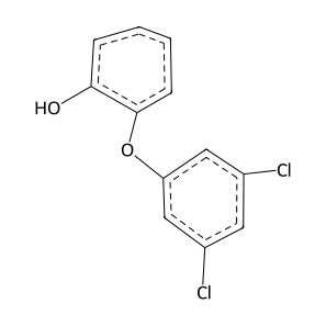 Oc1ccccc1Oc1cc(Cl)cc(Cl)c1